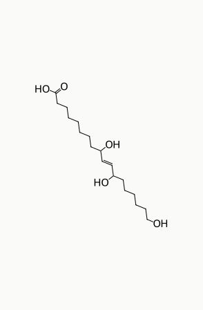 O=C(O)CCCCCCCC(O)C=CC(O)CCCCCCO